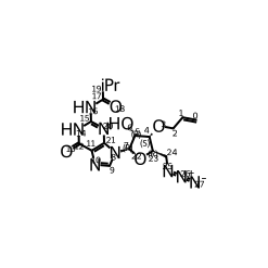 C=CCO[C@H]1[C@@H](O)[C@H](n2cnc3c(=O)[nH]c(NC(=O)C(C)C)nc32)O[C@@H]1CN=[N+]=[N-]